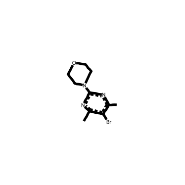 Cc1nc(N2CCOCC2)nc(C)c1Br